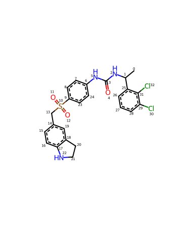 CC(NC(=O)Nc1ccc(S(=O)(=O)Cc2ccc3c(c2)CCN3)cc1)c1cccc(Cl)c1Cl